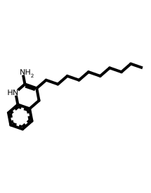 CCCCCCCCCCC1=C(N)Nc2ccccc2C1